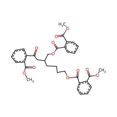 COC(=O)c1ccccc1C(=O)CC(CCCCOC(=O)c1ccccc1C(=O)OC)COC(=O)c1ccccc1C(=O)OC